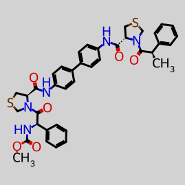 COC(=O)N[C@@H](C(=O)N1CSC[C@H]1C(=O)Nc1ccc(-c2ccc(NC(=O)[C@@H]3CSCN3C(=O)[C@H](C)c3ccccc3)cc2)cc1)c1ccccc1